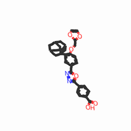 O=C(O)c1ccc(-c2nnc(-c3ccc(OCC4OC=CO4)c(C45CC6CC(CC(C6)C4)C5)c3)o2)cc1